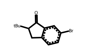 CC(C)(C)C1Cc2ccc(Br)cc2C1=O